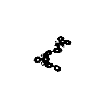 c1cc(-c2ccc3oc4c(C5CCCCC5)c5oc6ccc(C7CCCCC7)cc6c5cc4c3c2)cc(-c2cnc3c4ccccc4c4ccccc4c3n2)c1